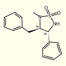 CN1[C@H](Cc2ccccc2)[C@@H](c2ccccc2)NS1(=O)=O